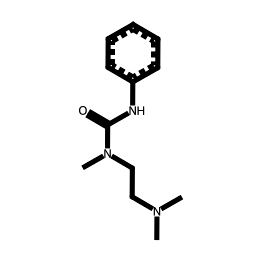 CN(C)CCN(C)C(=O)Nc1cc[c]cc1